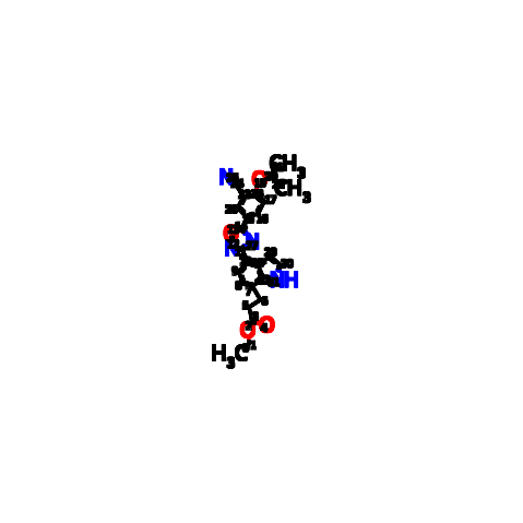 CCOC(=O)CCc1ccc(-c2noc(-c3ccc(OC(C)C)c(C#N)c3)n2)c2cc[nH]c12